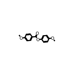 COc1ccc(OC(=O)c2ccc(OC)cc2)cc1